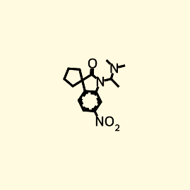 CC(N(C)C)N1C(=O)C2(CCCC2)c2ccc([N+](=O)[O-])cc21